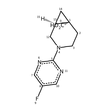 O=C(O)[C@]12CCN(c3ncc(F)cn3)C[C@H]1C2